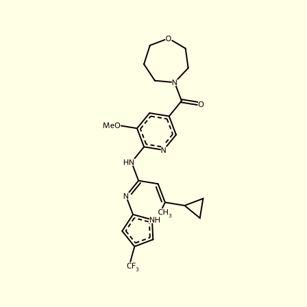 COc1cc(C(=O)N2CCCOCC2)cnc1NC(/C=C(\C)C1CC1)=N/c1cc(C(F)(F)F)c[nH]1